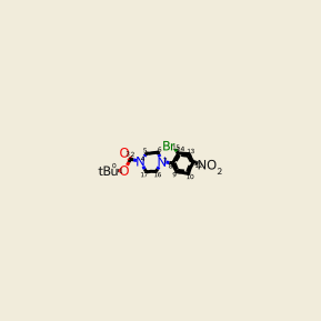 CC(C)(C)OC(=O)N1CCN(c2ccc([N+](=O)[O-])cc2Br)CC1